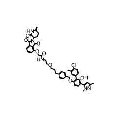 C=C1CCC(N2C(=O)c3cccc(OCC(=O)NCCOCCCc4ccc(COc5ccc(-c6cc(C)nn6C)c(O)c5-c5ccc(Cl)c(C)c5)cc4)c3C2=O)C(=O)N1